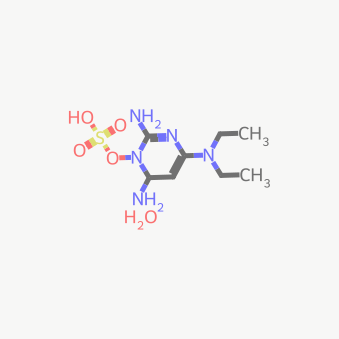 CCN(CC)C1=CC(N)N(OS(=O)(=O)O)C(N)=N1.O